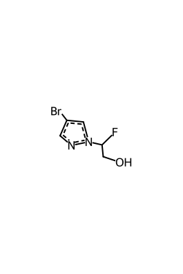 OCC(F)n1cc(Br)cn1